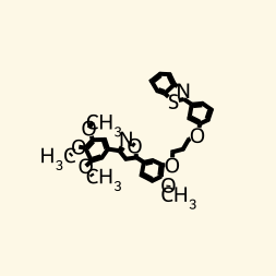 COc1ccc(C2CC(c3cc(OC)c(OC)c(OC)c3)=NO2)cc1OCCCOc1cccc(-c2nc3ccccc3s2)c1